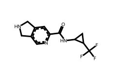 O=C(NC1CC1C(F)(F)F)c1cc2c(cn1)CNC2